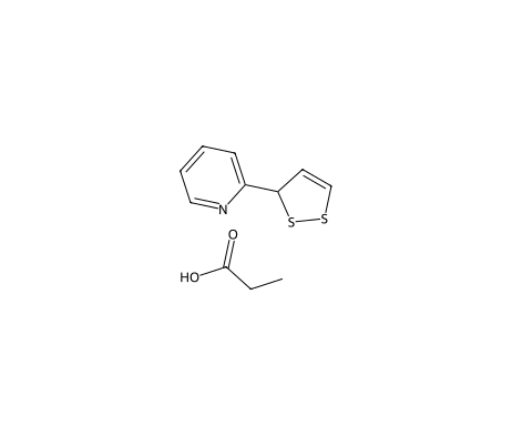 C1=CC(c2ccccn2)SS1.CCC(=O)O